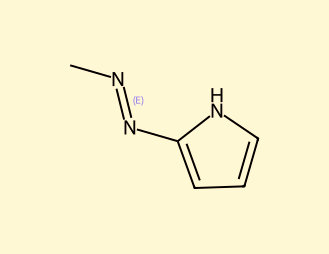 C/N=N/c1ccc[nH]1